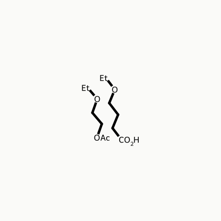 CCOCCCC(=O)O.CCOCCOC(C)=O